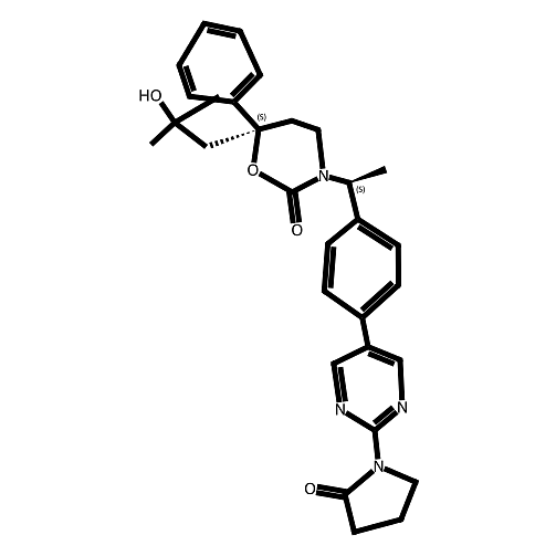 C[C@@H](c1ccc(-c2cnc(N3CCCC3=O)nc2)cc1)N1CC[C@](CC(C)(C)O)(c2ccccc2)OC1=O